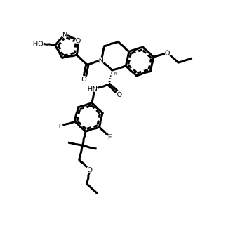 CCOCC(C)(C)c1c(F)cc(NC(=O)[C@H]2c3ccc(OCC)cc3CCN2C(=O)c2cc(O)no2)cc1F